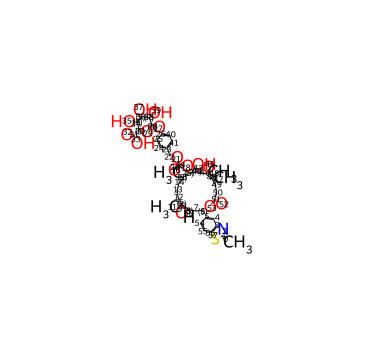 Cc1nc2cc([C@@H]3C[C@@H]4O[C@]4(C)CCC[C@H](C)[C@H](OC(=O)OCc4ccc(O[C@@H]5O[C@H](C(=O)O)[C@@H](O)[C@H](O)[C@H]5O)cc4)[C@@H](O)C(=O)C(C)(C)CCC(=O)O3)ccc2s1